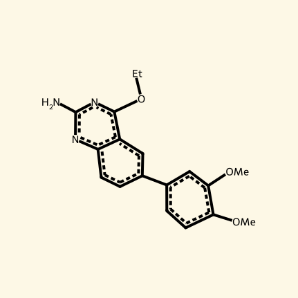 CCOc1nc(N)nc2ccc(-c3ccc(OC)c(OC)c3)cc12